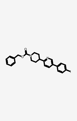 O=C(OCc1ccccc1)N1CCC(c2ccc(-c3ccc(I)cc3)cn2)CC1